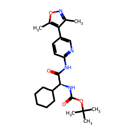 Cc1noc(C)c1-c1ccc(NC(=O)[C@@H](NC(=O)OC(C)(C)C)C2CCCCC2)nc1